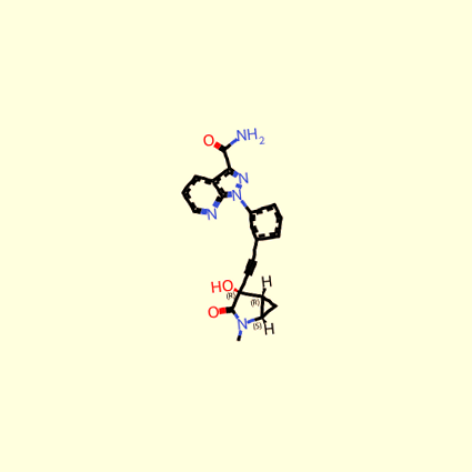 CN1C(=O)[C@](O)(C#Cc2cccc(-n3nc(C(N)=O)c4cccnc43)c2)[C@@H]2C[C@@H]21